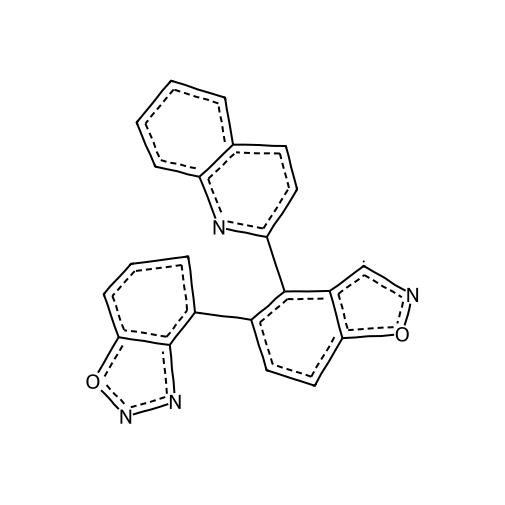 [c]1noc2ccc(-c3cccc4onnc34)c(-c3ccc4ccccc4n3)c12